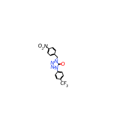 O=c1n(Cc2ccc([N+](=O)[O-])cc2)nnn1-c1ccc(C(F)(F)F)cc1